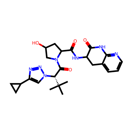 CC(C)(C)[C@@H](C(=O)N1CC(O)CC1C(=O)NC1Cc2cccnc2NC1=O)n1cc(C2CC2)nn1